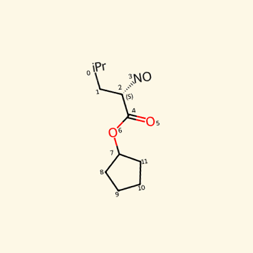 CC(C)C[C@H](N=O)C(=O)OC1CCCC1